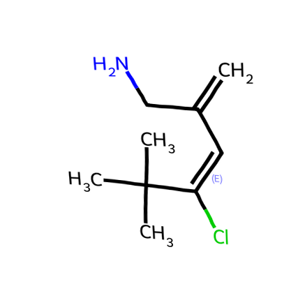 C=C(/C=C(/Cl)C(C)(C)C)CN